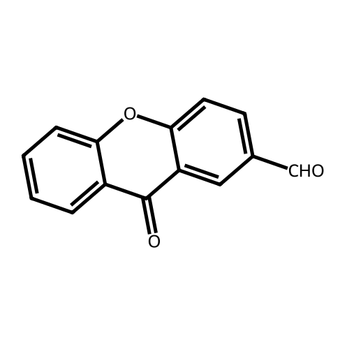 O=Cc1ccc2oc3ccccc3c(=O)c2c1